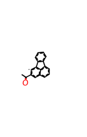 CC(=O)c1[c]c2c3c(cccc3c1)-c1ccccc1-2